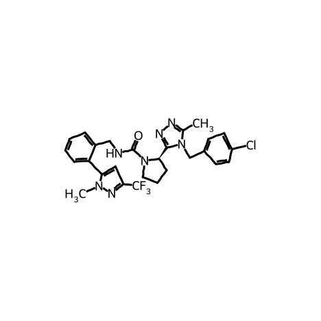 Cc1nnc([C@H]2CCCN2C(=O)NCc2ccccc2-c2cc(C(F)(F)F)nn2C)n1Cc1ccc(Cl)cc1